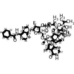 CC(C)[Si](O)(O[Si](O[C@H]1[C@@H](OP(=S)(OCCC#N)OC[C@H]2O[C@@H](n3cnc4c(NC(=O)c5ccccc5)ncnc43)[C@H](F)[C@@H]2O[PH](=O)O)[C@H](n2cc(F)c3c(=O)[nH]cnc32)O[C@@H]1CO)(C(C)C)C(C)C)C(C)C